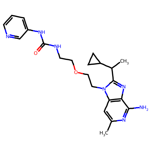 Cc1cc2c(nc(C(C)C3CC3)n2CCOCCNC(=O)Nc2cccnc2)c(N)n1